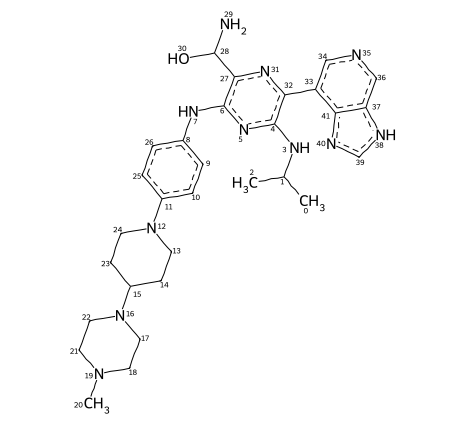 CC(C)Nc1nc(Nc2ccc(N3CCC(N4CCN(C)CC4)CC3)cc2)c(C(N)O)nc1-c1cncc2[nH]cnc12